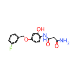 NC(=O)CC(=O)Nc1ccc(OCc2cccc(F)c2)cc1O